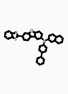 c1ccc(-c2ccc(N(c3ccc4ccccc4c3)c3ccc4oc5cc(-c6nc7ccccc7s6)ccc5c4c3)cc2)cc1